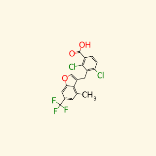 Cc1cc(C(F)(F)F)cc2occ(Cc3c(Cl)ccc(C(=O)O)c3Cl)c12